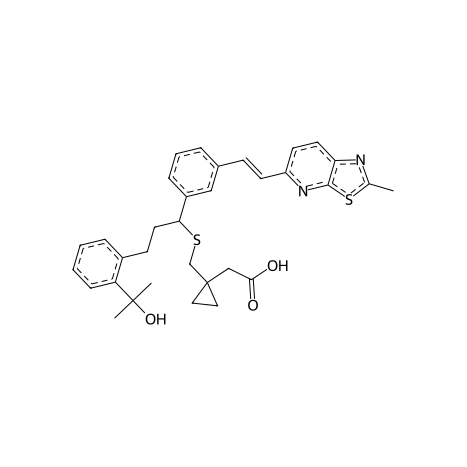 Cc1nc2ccc(C=Cc3cccc(C(CCc4ccccc4C(C)(C)O)SCC4(CC(=O)O)CC4)c3)nc2s1